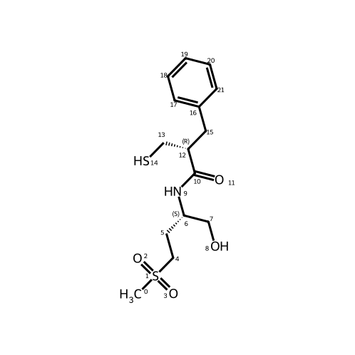 CS(=O)(=O)CC[C@@H](CO)NC(=O)[C@H](CS)Cc1ccccc1